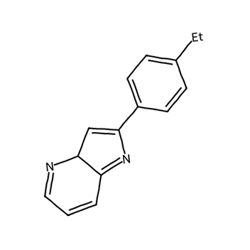 CCc1ccc(C2=CC3N=CC=CC3=N2)cc1